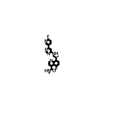 CNC(=O)c1ccnc2c([C@H](C)CNc3cc(-c4ccc(F)nc4)ncn3)ccc(F)c12